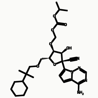 CC(C)OC(=O)OCO[C@H]1[C@@H](O)[C@](C#N)(c2ccc3c(N)ncnn23)O[C@@H]1COCC(C)(C)C1CCCCC1